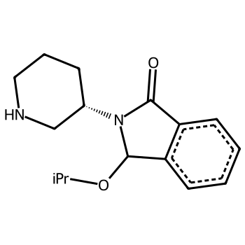 CC(C)OC1c2ccccc2C(=O)N1[C@H]1CCCNC1